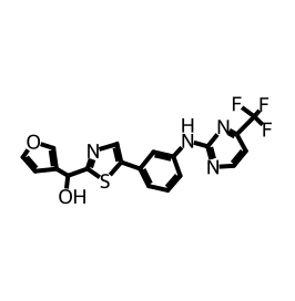 OC(c1ccoc1)c1ncc(-c2cccc(Nc3nccc(C(F)(F)F)n3)c2)s1